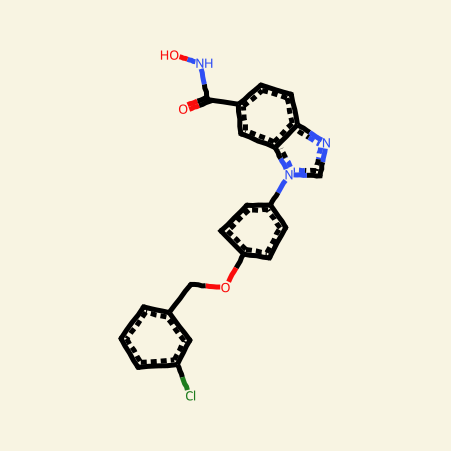 O=C(NO)c1ccc2ncn(-c3ccc(OCc4cccc(Cl)c4)cc3)c2c1